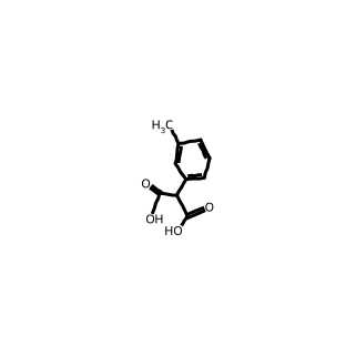 Cc1cccc(C(C(=O)O)C(=O)O)c1